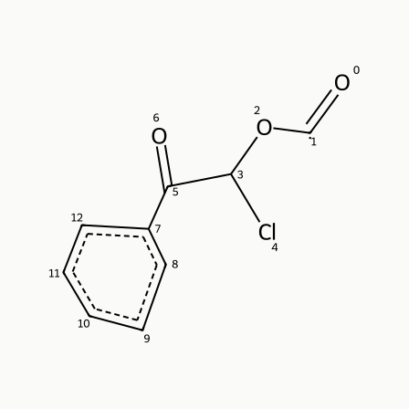 O=[C]OC(Cl)C(=O)c1ccccc1